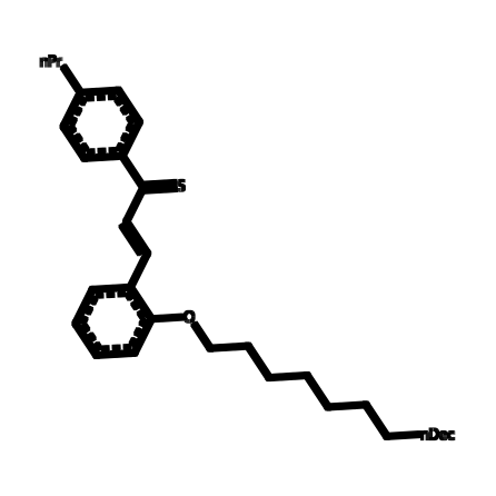 CCCCCCCCCCCCCCCCCOc1ccccc1C=CC(=S)c1ccc(CCC)cc1